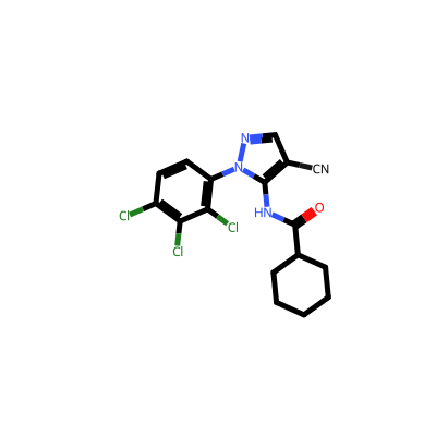 N#Cc1cnn(-c2ccc(Cl)c(Cl)c2Cl)c1NC(=O)C1CCCCC1